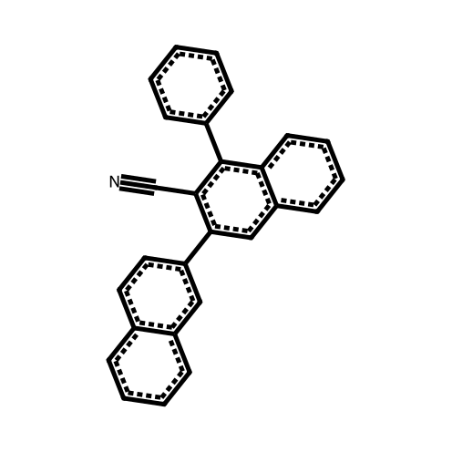 N#Cc1c(-c2ccc3ccccc3c2)cc2ccccc2c1-c1ccccc1